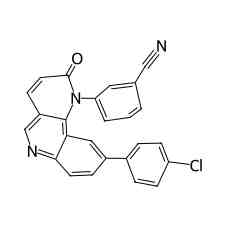 N#Cc1cccc(-n2c(=O)ccc3cnc4ccc(-c5ccc(Cl)cc5)cc4c32)c1